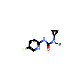 CCCN(C(=O)Nc1ccc(F)cn1)C1CC1